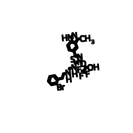 Cc1n[nH]c2ccc(-c3nnc(NCNCCc4ccccc4Br)s3)cc12.O=C(O)C(F)(F)F